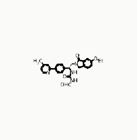 CCOc1ccc2c(c1)C(=O)N(C[C@H](NC(=O)NC=O)c1ccc(-c3cc(C)ccn3)cc1)C2